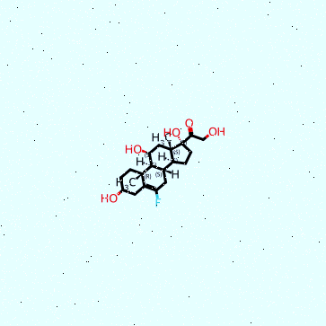 C[C@]12CCC(O)CC1=C(F)C[C@@H]1[C@@H]2[C@@H](O)C[C@@]2(C)[C@H]1CC[C@]2(O)C(=O)CO